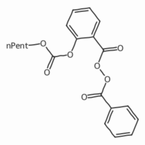 CCCCCOC(=O)Oc1ccccc1C(=O)OOC(=O)c1ccccc1